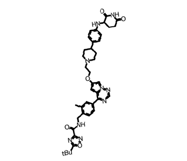 Cc1cc(-c2ncnn3cc(OCCN4CCC(c5ccc(NC6CCC(=O)NC6=O)cc5)CC4)cc23)ccc1CNC(=O)c1noc(C(C)(C)C)n1